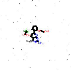 CNc1nc(N)nc2nc(-c3c(OCCO)cccc3C(F)(F)F)ccc12.O=C(O)C(F)(F)F